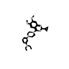 CCN(CC)c1cccc(N2CCN(c3nc(C4CC4)nc4cc(OC)c(OC)cc34)CC2)c1